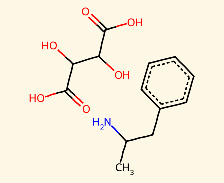 CC(N)Cc1ccccc1.O=C(O)C(O)C(O)C(=O)O